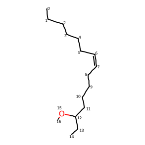 CCCCCC/C=C\CCCCC(CC)OC